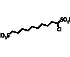 O=S(=O)(O)CCCCCCCCCC(Cl)S(=O)(=O)O